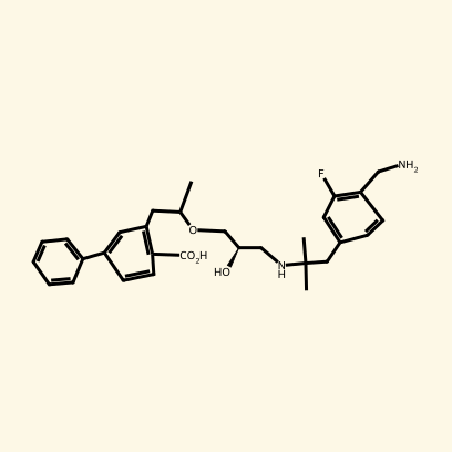 CC(Cc1cc(-c2ccccc2)ccc1C(=O)O)OC[C@H](O)CNC(C)(C)Cc1ccc(CN)c(F)c1